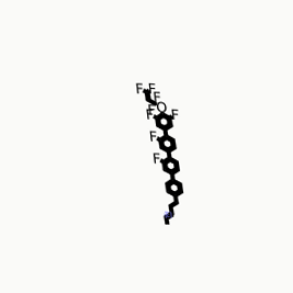 C/C=C/CCc1ccc(-c2ccc(-c3ccc(-c4cc(F)c(OC(F)(F)C=C(F)F)c(F)c4)c(F)c3)c(F)c2)cc1